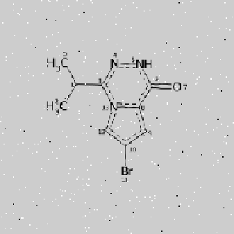 CC(C)c1n[nH]c(=O)c2cc(Br)cn12